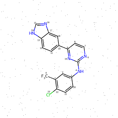 FC(F)(F)c1cc(Nc2nccc(-c3ccc4[nH]cnc4c3)n2)ccc1Cl